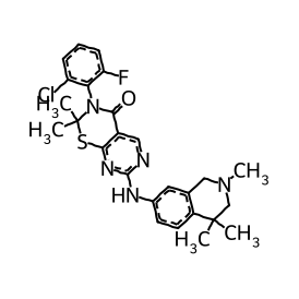 CN1Cc2cc(Nc3ncc4c(n3)SC(C)(C)N(c3c(F)cccc3Cl)C4=O)ccc2C(C)(C)C1